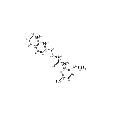 COc1ccc(Cl)cc1NC(=O)NCCc1ccc2c(n1)NCCC2